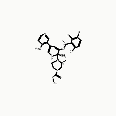 COc1ccncc1C1=CNC(N)(N2CCN(C(=O)OC(C)(C)C)C[C@@H]2C)C(O[C@H](C)c2c(Cl)ccc(F)c2Cl)=C1